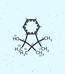 CC1(C)c2ccccc2C(C)(O)C1(C)C